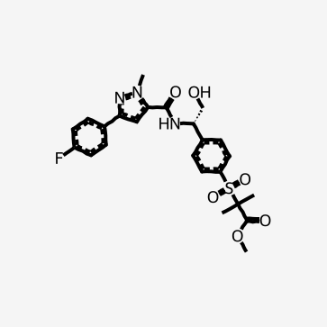 COC(=O)C(C)(C)S(=O)(=O)c1ccc([C@@H](CO)NC(=O)c2cc(-c3ccc(F)cc3)nn2C)cc1